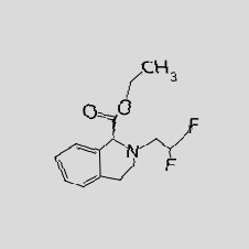 CCOC(=O)[C@@H]1c2ccccc2CCN1CC(F)F